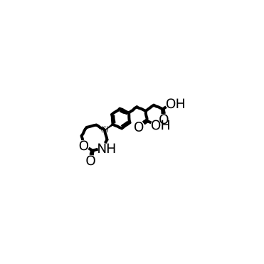 O=C(O)CC(Cc1ccc([C@@H]2CCCOC(=O)NC2)cc1)C(=O)O